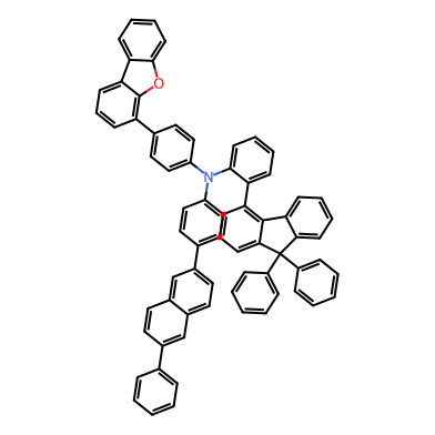 c1ccc(-c2ccc3cc(-c4ccc(N(c5ccc(-c6cccc7c6oc6ccccc67)cc5)c5ccccc5-c5cccc6c5-c5ccccc5C6(c5ccccc5)c5ccccc5)cc4)ccc3c2)cc1